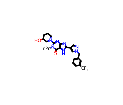 CCCn1c(N2CCCC(O)C2)nc2nc(-c3cnn(Cc4cccc(C(F)(F)F)c4)c3)[nH]c2c1=O